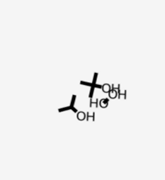 CC(C)(C)O.CC(C)O.OO